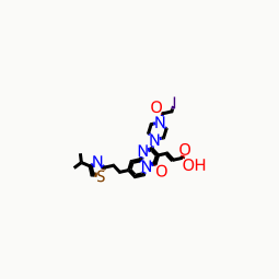 CC(C)c1csc(CCc2ccn3c(=O)c(C=CC(=O)O)c(N4CCN(C(=O)CI)CC4)nc3c2)n1